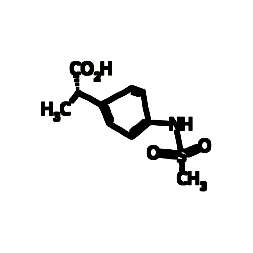 C[C@H](C(=O)O)c1ccc(NS(C)(=O)=O)cc1